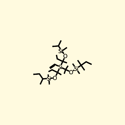 C=C[Si](C(C)(C)O[Si](C)(C)C(C)(C)CC)(C(C)(CC)O[Si](C)(C)C(C)C)C(C)(CC)O[Si](C)(C)C(C)CC